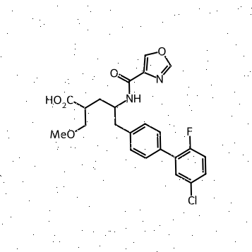 COCC(CC(Cc1ccc(-c2cc(Cl)ccc2F)cc1)NC(=O)c1cocn1)C(=O)O